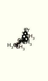 CC(C)c1ccc2c(c1)CC[C@H]1[C@](C)(CNC(=O)C=CN(C)C)CCC[C@]21C